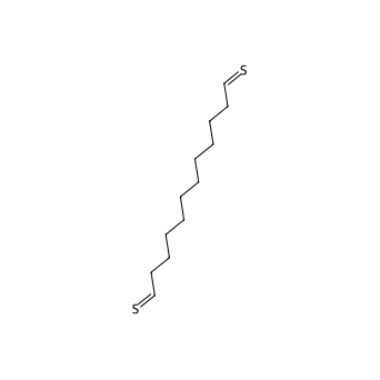 S=CCCCCCCCCCCC=S